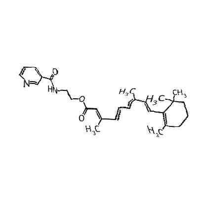 CC(C=CC1=C(C)CCCC1(C)C)=CC=CC(C)=CC(=O)OCCNC(=O)c1cccnc1